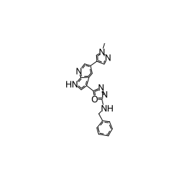 Cn1cc(-c2cnc3[nH]cc(-c4nnc(NCc5ccccc5)o4)c3c2)cn1